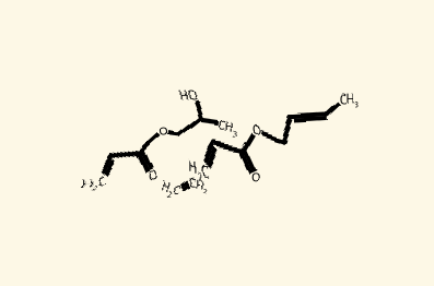 C=C.C=CC(=O)OCC(C)O.C=CC(=O)OCC=CC